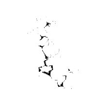 N[C@@H](Cc1ccc(OC2C[C@@H](O)C[C@@H](C(=O)O)O2)c(O)c1)C(=O)N[C@@H](CCC(=O)O)C(=O)O